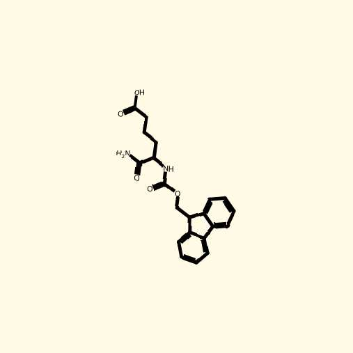 NC(=O)C(CCCC(=O)O)NC(=O)OCC1c2ccccc2-c2ccccc21